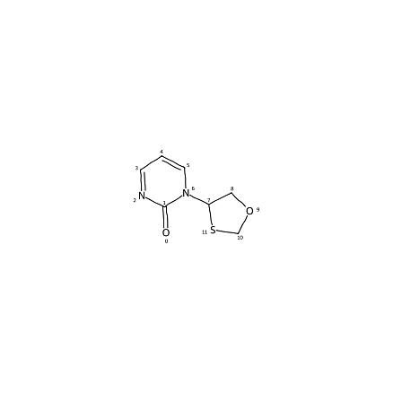 O=c1ncccn1C1COCS1